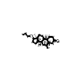 CCCOC1CC[C@H]2[C@@H]3CC(C)C4CC(=O)CC[C@]4(CO)[C@@H]3CC[C@]12C